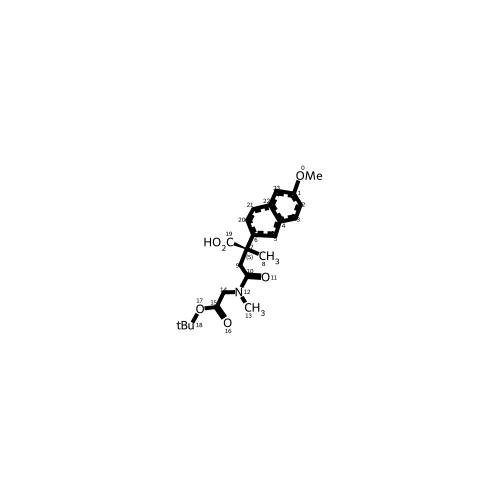 COc1ccc2cc([C@](C)(CC(=O)N(C)CC(=O)OC(C)(C)C)C(=O)O)ccc2c1